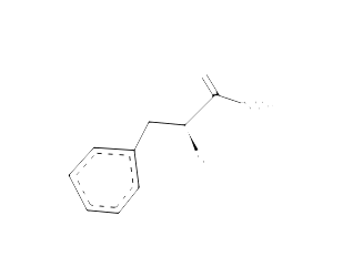 CNC(=S)[C@@H](N)Cc1ccccc1